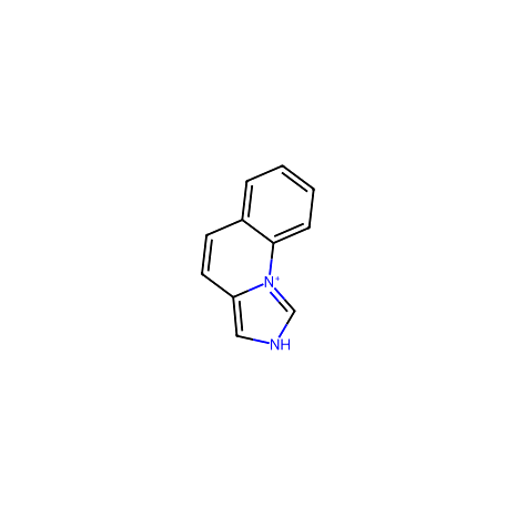 c1ccc2c(c1)ccc1c[nH]c[n+]12